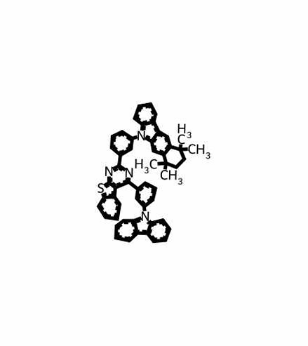 CC1(C)CCC(C)(C)c2cc3c(cc21)c1ccccc1n3-c1cccc(-c2nc(-c3cccc(-n4c5ccccc5c5ccccc54)c3)c3c(n2)sc2ccccc23)c1